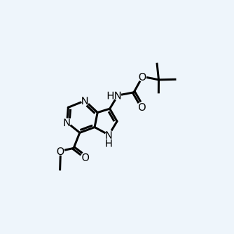 COC(=O)c1ncnc2c(NC(=O)OC(C)(C)C)c[nH]c12